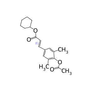 CC(=O)Oc1c(C)cc(/C=C/C(=O)OC2CCCCC2)cc1C